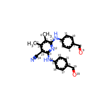 Cc1c(Nc2ccc(C=O)cc2)nc(Nc2ccc(C=O)cc2)c(C#N)c1C